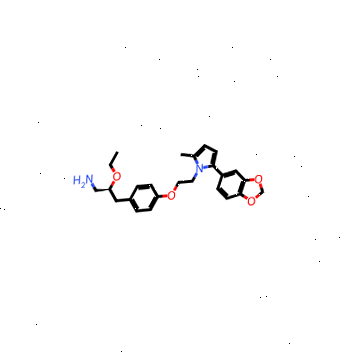 CCO[C@H](CN)Cc1ccc(OCCn2c(C)ccc2-c2ccc3c(c2)OCO3)cc1